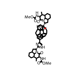 COC(=O)N[C@@H]1C(=O)N2C3C(CCCC3C1C)C[C@H]2c1nc(-c2ccc(-c3cc4ccc3CCc3ccc(c(-c5c[nH]c([C@@H]6CC7CCCC8C(C)[C@H](NC(=O)OC)C(=O)N6C78)n5)c3)CC4)cc2)c[nH]1